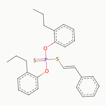 CCCc1ccccc1OP(=S)(Oc1ccccc1CCC)SC=Cc1ccccc1